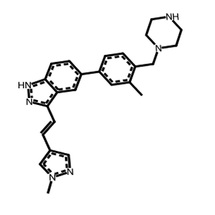 Cc1cc(-c2ccc3[nH]nc(C=Cc4cnn(C)c4)c3c2)ccc1CN1CCNCC1